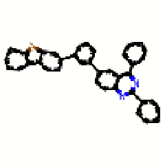 c1ccc(-c2nc(-c3ccccc3)c3cc(-c4cccc(-c5ccc6c(c5)sc5ccccc56)c4)ccc3n2)cc1